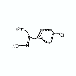 CC(C)C(=NO)c1ccc(Cl)cc1